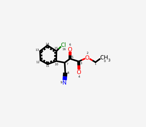 CCOC(=O)C(=O)C(C#N)c1ccccc1Cl